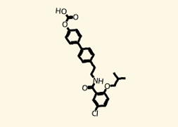 CC(C)COc1ccc(Cl)cc1C(=O)NCCc1ccc(-c2ccc(OC(=O)O)cc2)cc1